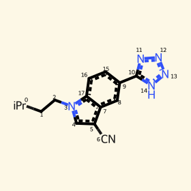 CC(C)CCn1cc(C#N)c2cc(-c3nnn[nH]3)ccc21